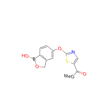 COC(=O)c1cnc(Oc2ccc3c(c2)COB3O)s1